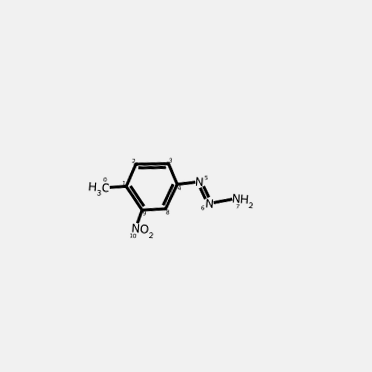 Cc1ccc(N=NN)cc1[N+](=O)[O-]